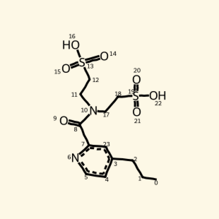 CCCc1ccnc(C(=O)N(CCS(=O)(=O)O)CCS(=O)(=O)O)c1